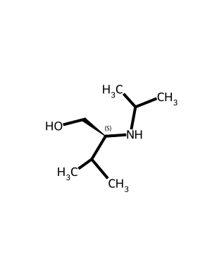 CC(C)N[C@H](CO)C(C)C